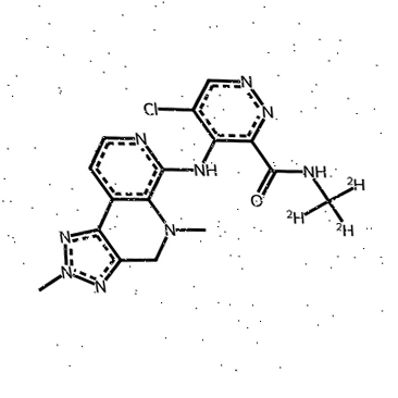 [2H]C([2H])([2H])NC(=O)c1nncc(Cl)c1Nc1nccc2c1N(C)Cc1nn(C)nc1-2